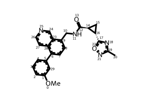 COc1cccc(-c2ccc(CNC(=O)[C@H]3C[C@@H]3c3nc(C)no3)c3cnccc23)c1